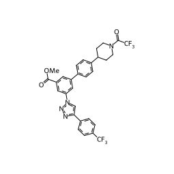 COC(=O)c1cc(-c2ccc(C3CCN(C(=O)C(F)(F)F)CC3)cc2)cc(-n2cc(-c3ccc(C(F)(F)F)cc3)nn2)c1